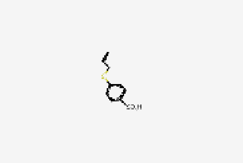 C=CCSc1ccc(S(=O)(=O)O)cc1